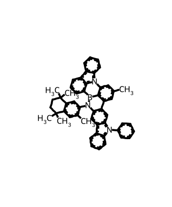 Cc1cc2c3c(c1)-n1c4ccccc4c4cccc(c41)B3N(c1cc3c(cc1C)C(C)(C)CCC3(C)C)c1cc3c4ccccc4n(-c4ccccc4)c3cc1-2